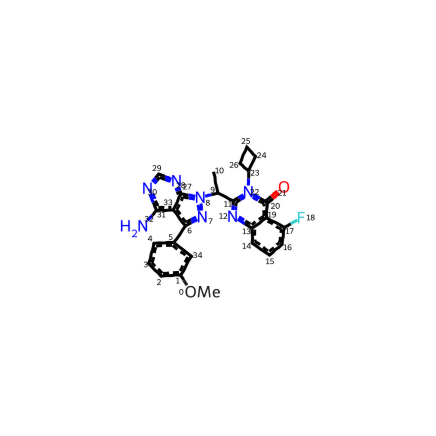 COc1cccc(-c2nn(C(C)c3nc4cccc(F)c4c(=O)n3C3CCC3)c3ncnc(N)c23)c1